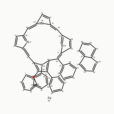 C1=Cc2cc3c(-c4ccccc4)c(-c4ccccc4)c(c(-c4ccccc4)c4nc(cc5ccc(cc1n2)[nH]5)C=C4)n3-c1ccccc1.[Fe].c1ccc2ncccc2c1